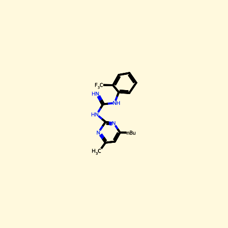 CCCCc1cc(C)nc(NC(=N)Nc2ccccc2C(F)(F)F)n1